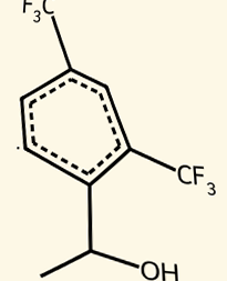 CC(O)c1[c]cc(C(F)(F)F)cc1C(F)(F)F